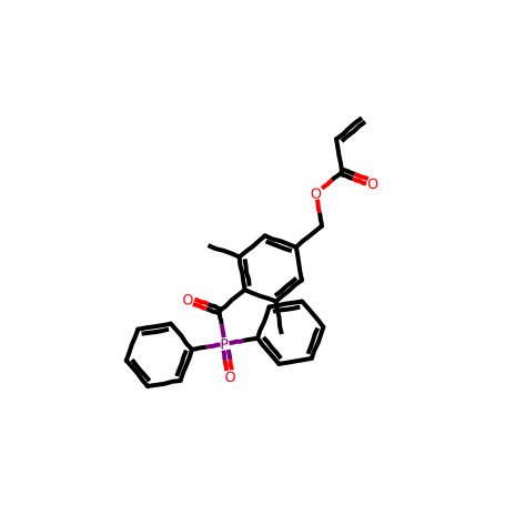 C=CC(=O)OCc1cc(C)c(C(=O)P(=O)(c2ccccc2)c2ccccc2)c(C)c1